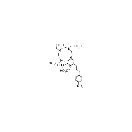 O=C(O)CN1CCN(CC(=O)O)CCN(CC(CCCc2ccc([N+](=O)[O-])cc2)N(CC(=O)O)CC(=O)O)CCN(CC(=O)O)CC1